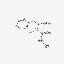 O=C(O)C(Cc1ccccc1)N(I)C(=O)NO